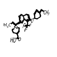 CCC1CCC(Oc2ccc3ccc(C(CC)N4CCC(C(=O)O)CC4)cc3c2C(F)(F)F)CC1